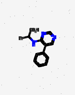 CCC(Nc1ncncc1-c1ccccc1)C(=O)O